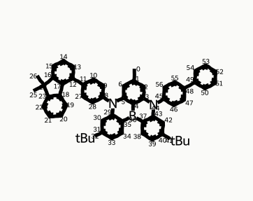 Cc1cc2c3c(c1)N(c1ccc(-c4cccc5c4-c4ccccc4C5(C)C)cc1)c1cc(C(C)(C)C)ccc1B3c1ccc(C(C)(C)C)cc1N2c1ccc(-c2ccccc2)cc1